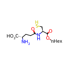 CCCCCCOC(=O)[C@H](CS)NC(=O)CC[C@H](N)C(=O)O